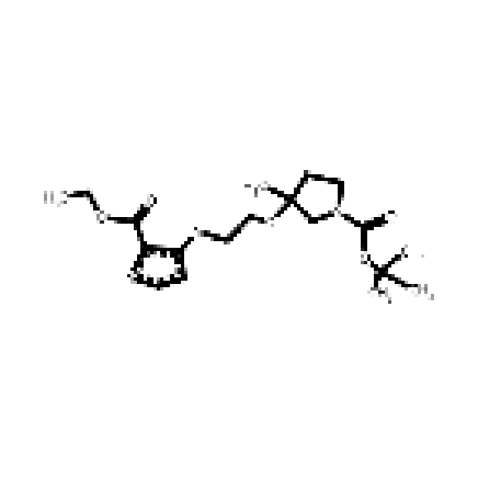 CCOC(=O)c1[nH]ccc1NCCOC1(C)CCN(C(=O)OC(C)(C)C)C1